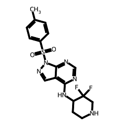 Cc1ccc(S(=O)(=O)n2ncc3c(NC4CCNCC4(F)F)ncnc32)cc1